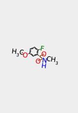 CNS(=O)(=O)c1cc(OC)ccc1F